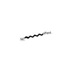 CCCCCCCCCCC/C=C/C#N